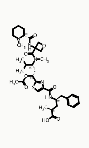 CC(=O)O[C@H](C[C@H](C(C)C)N(C)C(=O)C1(NC(=O)[C@H]2CCCCN2C)COC1)c1nc(C(=O)N[C@@H](Cc2ccccc2)C[C@H](C)C(=O)O)cs1